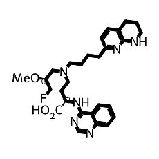 CO[C@H](CF)CN(CCCCc1ccc2c(n1)NCCC2)CC[C@H](Nc1ncnc2ccccc12)C(=O)O